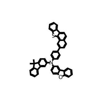 CC1(C)c2ccccc2-c2cc(N(c3ccc(-c4ccc5ccc6c7ccccc7sc6c5c4)cc3)c3ccc4oc5ccccc5c4c3)ccc21